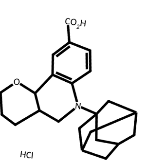 Cl.O=C(O)c1ccc2c(c1)C1OCCCC1CN2C12CC3CC(CC(C3)C1)C2